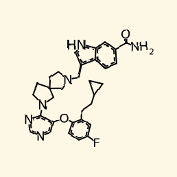 NC(=O)c1ccc2c(CN3CCC4(CCN(c5ncncc5Oc5ccc(F)cc5CCC5CC5)C4)C3)c[nH]c2c1